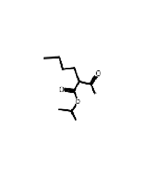 CCCCC(C(C)=O)C(=O)OC(C)C